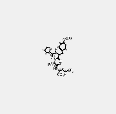 CC[C@H](C)[C@H](NC(=O)C(Cc1ccc(OC(C)(C)C)cc1)NC(=O)C1CCCO1)C(=O)NC(CCC(F)(F)F)C(=O)O